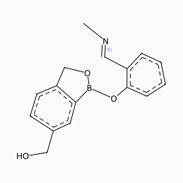 C/N=C/c1ccccc1OB1OCc2ccc(CO)cc21